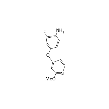 COc1cc(Oc2ccc(N)c(F)c2)ccn1